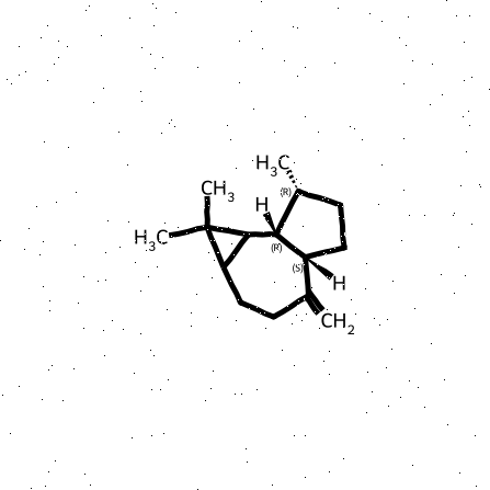 C=C1CCC2C([C@@H]3[C@H](C)CC[C@H]13)C2(C)C